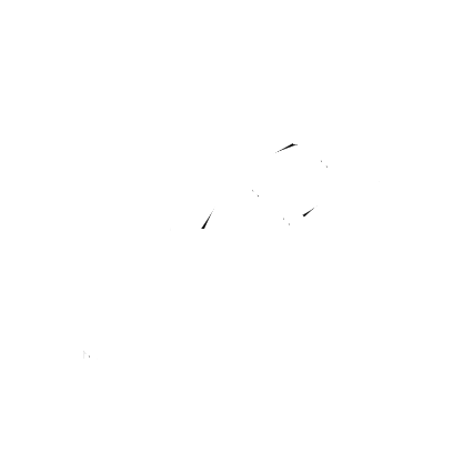 N#Cc1ccc(OC[C@H]2CC[C@@H](C(=O)N3CCC[C@H]3C#N)N2)c(Cl)c1